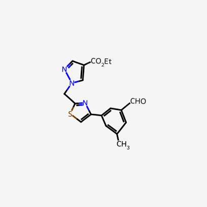 CCOC(=O)c1cnn(Cc2nc(-c3cc(C)cc(C=O)c3)cs2)c1